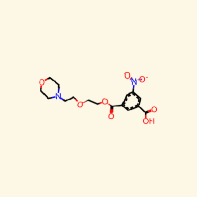 O=C(O)c1cc(C(=O)OCCOCCN2CCOCC2)cc([N+](=O)[O-])c1